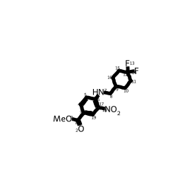 COC(=O)c1ccc(NCC2CCC(F)(F)CC2)c([N+](=O)[O-])c1